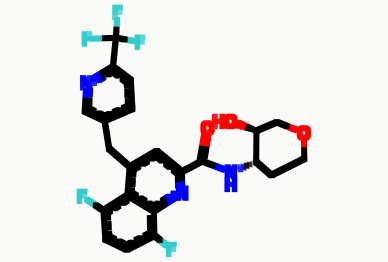 O=C(N[C@H]1CCOC[C@@H]1O)c1cc(Cc2ccc(C(F)(F)F)nc2)c2c(F)ccc(F)c2n1